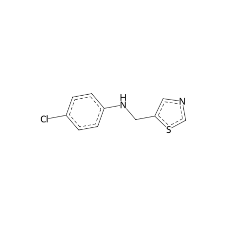 Clc1ccc(NCc2cncs2)cc1